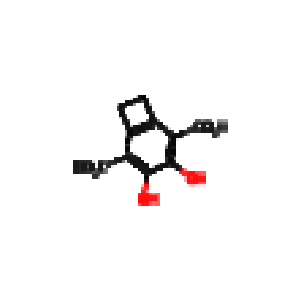 O=C(O)c1c(O)c(O)c(C(=O)O)c2c1CC2